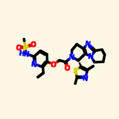 CCc1nc(NS(C)(=O)=O)ccc1OCC(=O)N1CCc2nc3n(c2[C@@H]1c1sc(C)nc1C)CCCC3